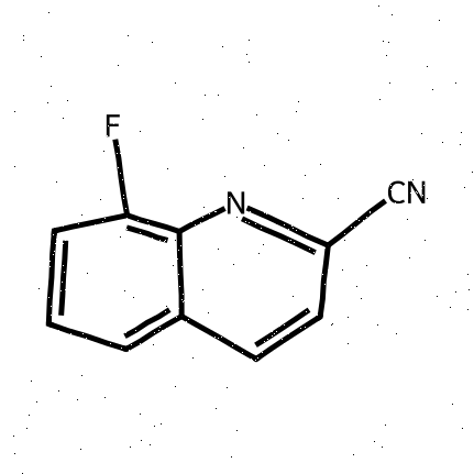 N#Cc1ccc2cccc(F)c2n1